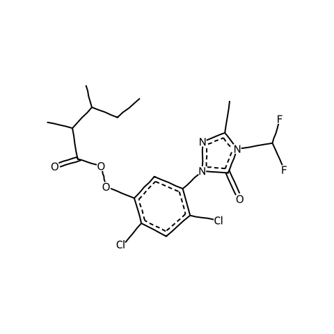 CCC(C)C(C)C(=O)OOc1cc(-n2nc(C)n(C(F)F)c2=O)c(Cl)cc1Cl